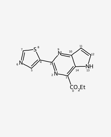 CCOC(=O)c1nc(-c2cncs2)nc2cc[nH]c12